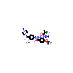 CC(C)Oc1ccc(C(=O)Nc2ccc(CN3CCN(C)CC3)c(C(F)(F)F)c2)cc1NC(=O)C(C)Br